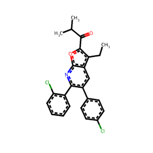 CCc1c(C(=O)C(C)C)oc2nc(-c3ccccc3Cl)c(-c3ccc(Cl)cc3)cc12